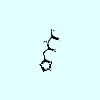 NC(=S)NC(=O)Cc1ccon1